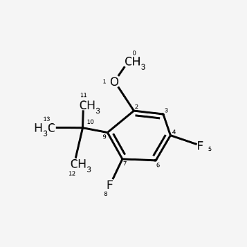 COc1cc(F)cc(F)c1C(C)(C)C